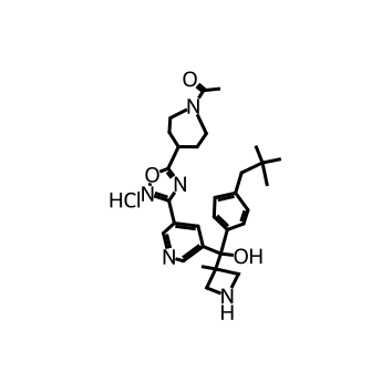 CC(=O)N1CCC(c2nc(-c3cncc(C(O)(c4ccc(CC(C)(C)C)cc4)C4(C)CNC4)c3)no2)CC1.Cl